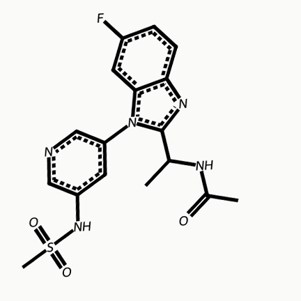 CC(=O)NC(C)c1nc2ccc(F)cc2n1-c1cncc(NS(C)(=O)=O)c1